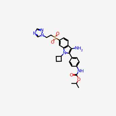 CC(C)OC(=O)Nc1ccc(-c2c(N)c3ccc(S(=O)(=O)CCn4cncn4)cc3n2C2CCC2)cc1